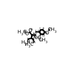 CCc1nn(Cc2ccc(OC)cc2OC)c(C(=O)OC)c1CN